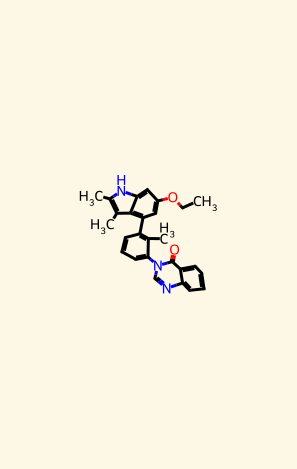 CCOc1cc(-c2cccc(-n3cnc4ccccc4c3=O)c2C)c2c(C)c(C)[nH]c2c1